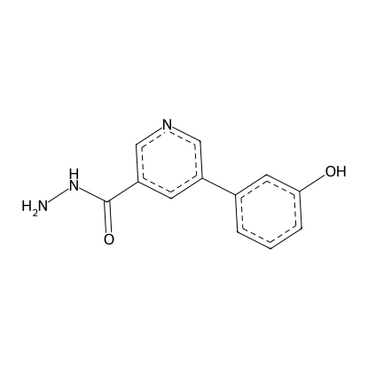 NNC(=O)c1cncc(-c2cccc(O)c2)c1